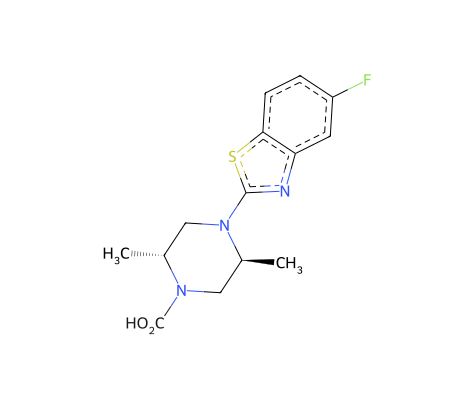 C[C@@H]1CN(c2nc3cc(F)ccc3s2)[C@@H](C)CN1C(=O)O